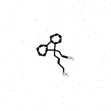 C=CCC1(CC=CCC)c2ccccc2-c2ccccc21